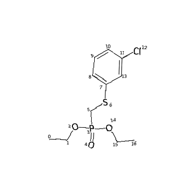 CCOP(=O)(CSc1cccc(Cl)c1)OCC